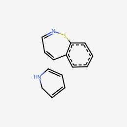 C1=CCNC=C1.C1=Cc2ccccc2SN=C1